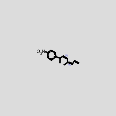 C=C/C=C(C)\C=C/C(C)c1ccc([N+](=O)[O-])cc1